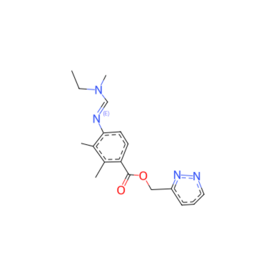 CCN(C)/C=N/c1ccc(C(=O)OCc2cccnn2)c(C)c1C